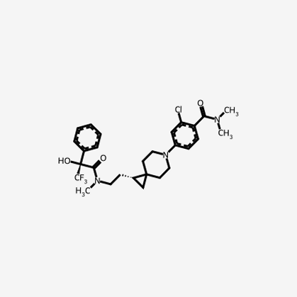 CN(C)C(=O)c1ccc(N2CCC3(CC2)C[C@@H]3CCN(C)C(=O)[C@](O)(c2ccccc2)C(F)(F)F)cc1Cl